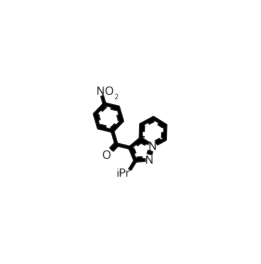 CC(C)c1nn2ccccc2c1C(=O)c1ccc([N+](=O)[O-])cc1